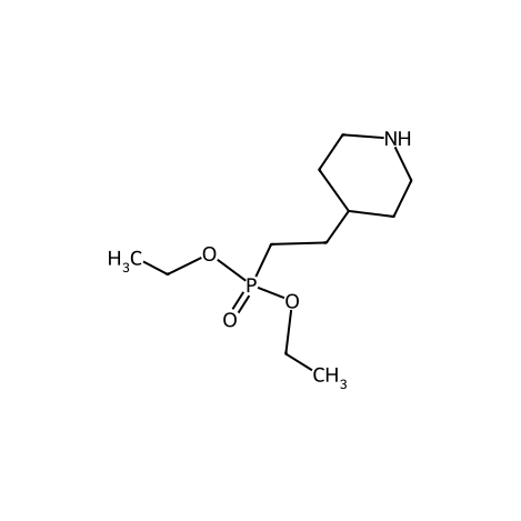 CCOP(=O)(CCC1CCNCC1)OCC